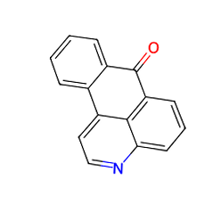 O=C1c2ccccc2-c2ccnc3cccc1c23